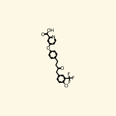 O=C(CCc1ccc(Oc2ccnc(C(=O)O)c2)cc1)Cc1ccc(Cl)c(C(F)(F)F)c1